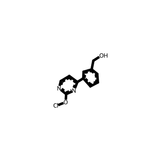 OCc1cccc(-c2ccnc(OCl)n2)c1